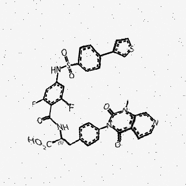 Cn1c(=O)n(-c2ccc(C[C@H](NC(=O)c3c(F)cc(NS(=O)(=O)c4ccc(-c5ccsc5)cc4)cc3F)C(=O)O)cc2)c(=O)c2ccncc21